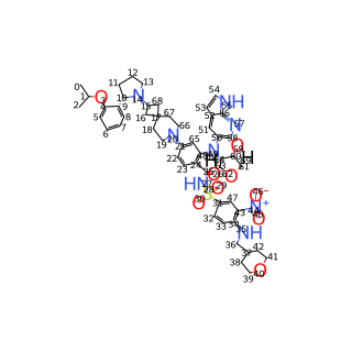 CC(C)Oc1ccccc1[C@@H]1CCCN1C1CC2(CCN(c3ccc(C(=O)NS(=O)(=O)c4ccc(NCC5CCOCC5)c([N+](=O)[O-])c4)c(N4c5cc6cc[nH]c6nc5O[C@H]5COC[C@H]54)c3)CC2)C1